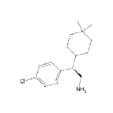 CC1(C)CCC([C@@H](CN)c2ccc(Cl)cc2)CC1